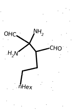 CCCCCCCCC(C=O)C(N)(N)C=O